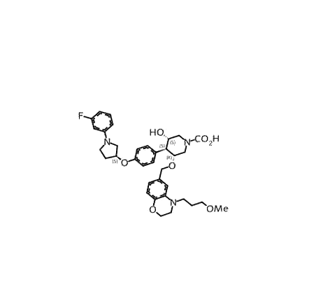 COCCCN1CCOc2ccc(CO[C@H]3CN(C(=O)O)C[C@@H](O)[C@@H]3c3ccc(O[C@H]4CCN(c5cccc(F)c5)C4)cc3)cc21